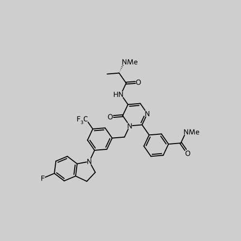 CNC(=O)c1cccc(-c2ncc(NC(=O)[C@H](C)NC)c(=O)n2Cc2cc(N3CCc4cc(F)ccc43)cc(C(F)(F)F)c2)c1